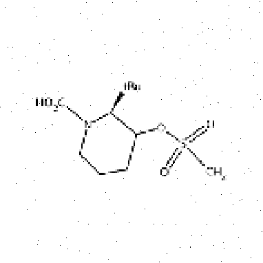 CC(C)(C)[C@H]1C(OS(C)(=O)=O)CCCN1C(=O)O